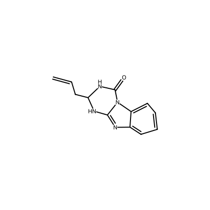 C=CCC1NC(=O)n2c(nc3ccccc32)N1